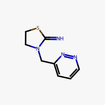 N=C1SCCN1Cc1cccnn1